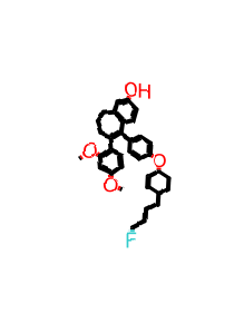 COc1ccc(C2=C(c3ccc(OC4CCC(CCCCF)CC4)cc3)c3ccc(O)cc3CCC2)c(OC)c1